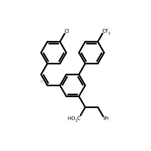 CC(C)CC(C(=O)O)c1cc(/C=C\c2ccc(Cl)cc2)cc(-c2ccc(C(F)(F)F)cc2)c1